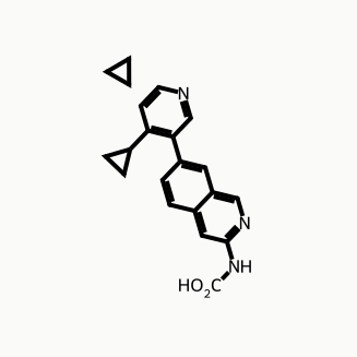 C1CC1.O=C(O)Nc1cc2ccc(-c3cnccc3C3CC3)cc2cn1